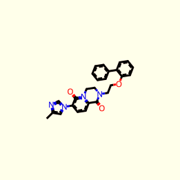 Cc1cn(-c2ccc3n(c2=O)CCN(CCOc2ccccc2-c2ccccc2)C3=O)cn1